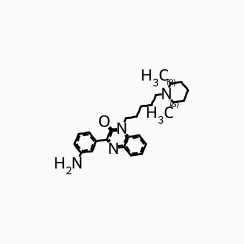 C[C@@H]1CCC[C@H](C)N1CCCCCn1c(=O)c(-c2cccc(N)c2)nc2ccccc21